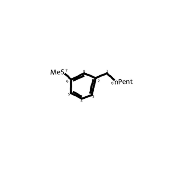 CCCCCCc1cccc(SC)c1